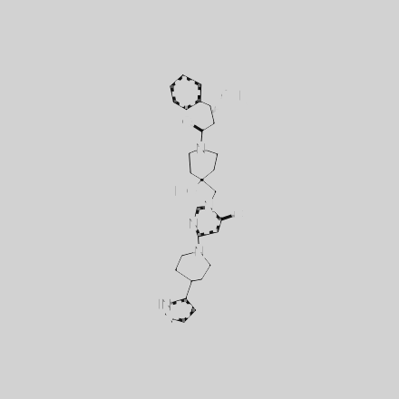 C[C@H](CC(=O)N1CCC(O)(Cn2cnc(N3CCC(c4ccn[nH]4)CC3)cc2=O)CC1)c1ccccc1